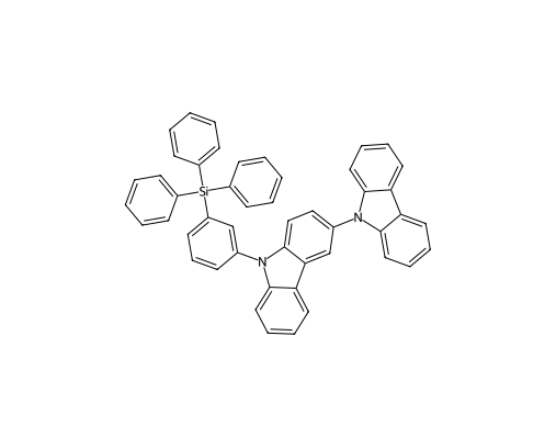 c1ccc([Si](c2ccccc2)(c2ccccc2)c2cccc(-n3c4ccccc4c4cc(-n5c6ccccc6c6ccccc65)ccc43)c2)cc1